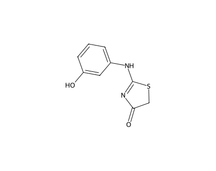 O=C1CSC(Nc2cccc(O)c2)=N1